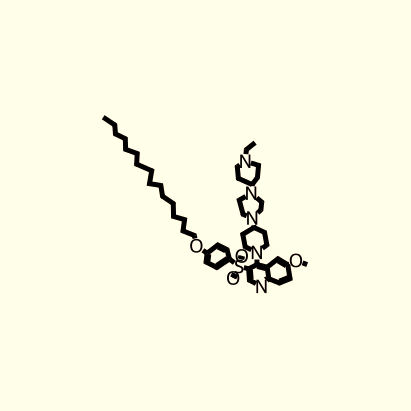 CCCCCCCCCCCCCCCCOc1ccc(S(=O)(=O)c2cnc3ccc(OC)cc3c2N2CCC(N3CCN(C4CCN(CC)CC4)CC3)CC2)cc1